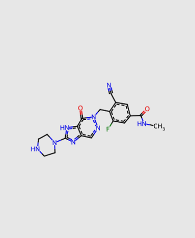 CNC(=O)c1cc(F)c(Cn2ncc3nc(N4CCNCC4)[nH]c3c2=O)c(C#N)c1